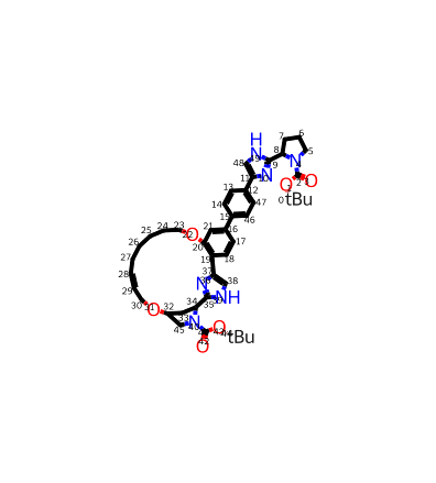 CC(C)(C)OC(=O)N1CCCC1c1nc(-c2ccc(-c3ccc4c(c3)OCCCCCC=CCOC3CC(c5nc-4c[nH]5)N(C(=O)OC(C)(C)C)C3)cc2)c[nH]1